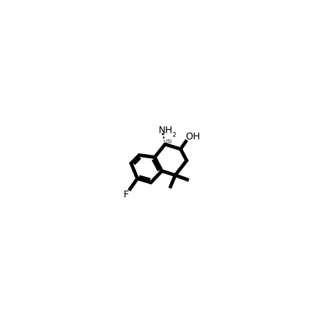 CC1(C)CC(O)[C@@H](N)c2ccc(F)cc21